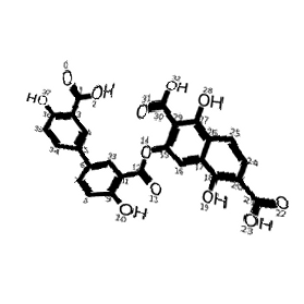 O=C(O)c1cc(-c2ccc(O)c(C(=O)Oc3cc4c(O)c(C(=O)O)ccc4c(O)c3C(=O)O)c2)ccc1O